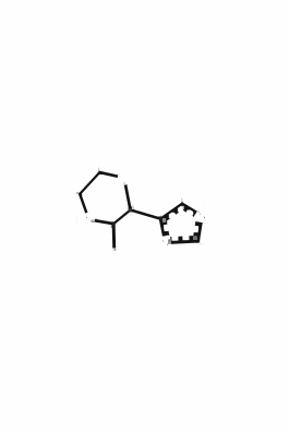 CC1NCCOC1c1c[nH]cn1